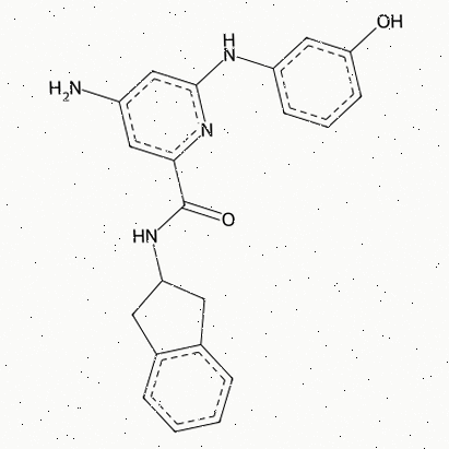 Nc1cc(Nc2cccc(O)c2)nc(C(=O)NC2Cc3ccccc3C2)c1